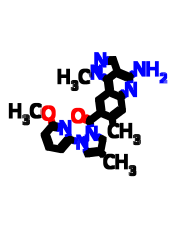 COc1cccc(N2C=C(C)CN2C(=O)c2cc3c(cc2C)nc(N)c2cnn(C)c23)n1